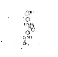 C/C=C/C(=O)Nc1ccnc(-c2cccc3cnc(Nc4ccc(C5CNCCO5)cc4)nc23)c1